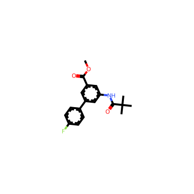 COC(=O)c1cc(NC(=O)C(C)(C)C)cc(-c2ccc(F)cc2)c1